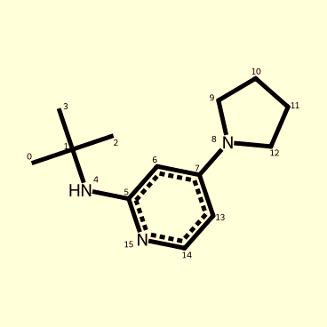 CC(C)(C)Nc1cc(N2CCCC2)ccn1